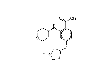 CN1CCC(Oc2ccc(C(=O)O)c(NC3CCOCC3)c2)C1